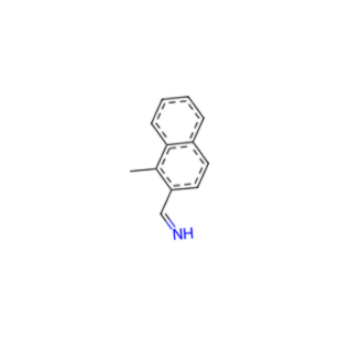 Cc1c(C=N)ccc2ccccc12